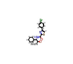 CNC(=O)[C@@H](NC(=O)c1nc(-c2ccc(Br)cc2)cs1)C1CCCCC1